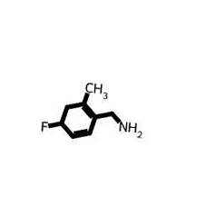 CC1=C(CN)C=CC(F)C1